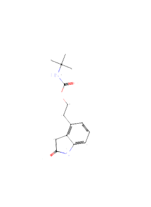 CC(C)(C)NC(=O)OCCc1cccc2c1CC(=O)N2